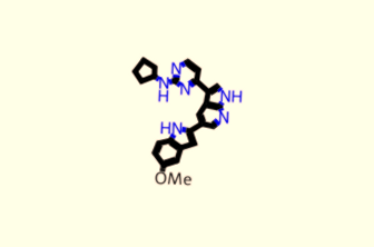 COc1ccc2[nH]c(-c3cnc4[nH]cc(-c5ccnc(NC6CCCC6)n5)c4c3)cc2c1